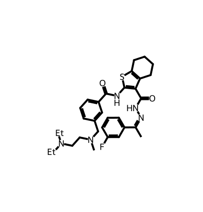 CCN(CC)CCN(C)Cc1cccc(C(=O)Nc2sc3c(c2C(=O)NN=C(C)c2cccc(F)c2)CCCC3)c1